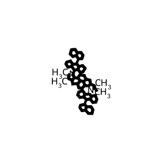 Cc1c(C)n(-c2c3ccccc3c(-c3cccc4ccccc34)c3ccccc23)c2c1cc1ccc3c4c(ccc2c14)cc1c(C)c(C)n(-c2c4ccccc4c(-c4cccc5ccccc45)c4ccccc24)c13